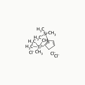 C[Si](C)(C)C1=[C]([Ti+3]([CH3])([CH3])([CH3])[CH3])CC=C1.[Cl-].[Cl-].[Cl-]